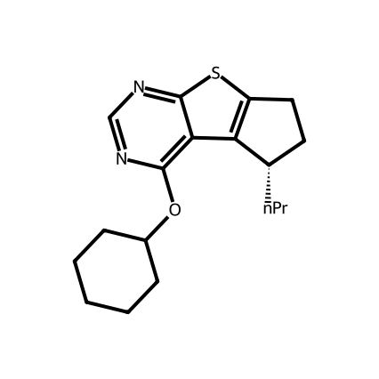 CCC[C@H]1CCc2sc3ncnc(OC4CCCCC4)c3c21